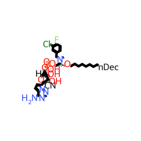 CCCCCCCCCCCCCCCCCCOC[C@H](COP(=O)(O)O[C@H]1[C@H]2O[C@@](C#N)(c3ccc4c(N)ncnn34)[C@H](O)[C@]21O)N(C)Cc1ccc(F)c(Cl)c1